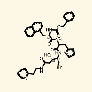 CC(C)C[C@H](NC(=O)C(Cc1cccs1)NC(=O)[C@H](Cc1cccc2ccccc12)NC(=O)OCc1ccccc1)[C@@H](O)CC(=O)NCCc1ccccn1